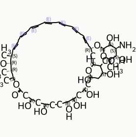 C[C@@H]1[C@H](O)[C@@H](C)/C=C/C=C/C=C/C=C/C=C/C=C/C=C/[C@H](O[C@@H]2O[C@H](C)[C@@H](O)[C@H](N)[C@@H]2O)C[C@@H]2O[C@](O)(C[C@@H](O)C[C@@H](O)[C@H](O)CC[C@@H](O)C[C@@H](O)CC(=O)O[C@H]1C)C[C@H](O)C2C(=O)O